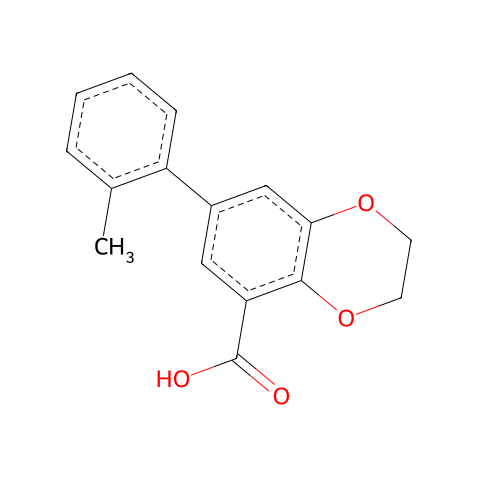 Cc1ccccc1-c1cc2c(c(C(=O)O)c1)OCCO2